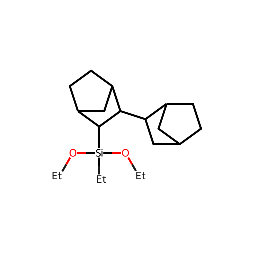 CCO[Si](CC)(OCC)C1C2CCC(C2)C1C1CC2CCC1C2